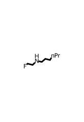 CCCCCCNCCF